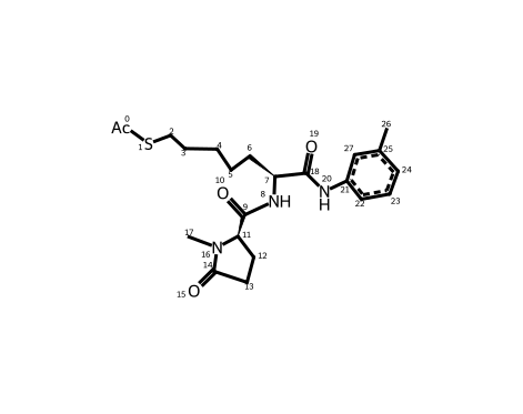 CC(=O)SCCCCC[C@H](NC(=O)[C@H]1CCC(=O)N1C)C(=O)Nc1cccc(C)c1